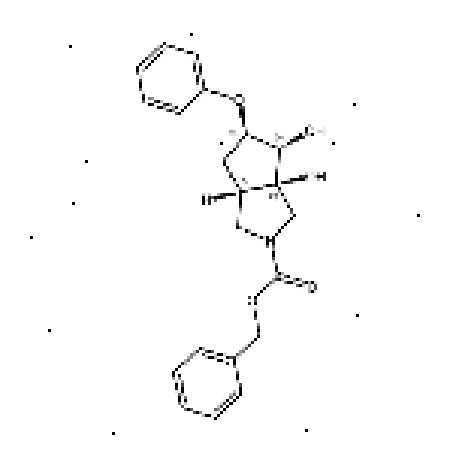 O=C(OCc1ccccc1)N1C[C@@H]2C[C@@H](Oc3ccccc3)[C@@H](O)[C@]2(O)C1